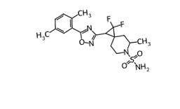 Cc1ccc(C)c(-c2nc(C3C(F)(F)C34CCN(S(N)(=O)=O)C(C)C4)no2)c1